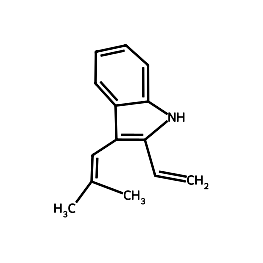 C=Cc1[nH]c2ccccc2c1C=C(C)C